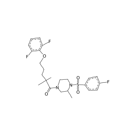 CC1CN(C(=O)C(C)(C)CCCOc2c(F)cccc2F)CCN1S(=O)(=O)c1ccc(F)cc1